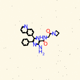 Nc1nc(-c2ccccc2)c(-c2ccc3ncccc3c2)nc1C(=O)NCC(=O)N1CCC1